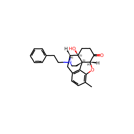 Cc1ccc2c3c1O[C@H]1C(=O)CC[C@@]4(O)[C@@H](C2)N(CCc2ccccc2)CC[C@]314